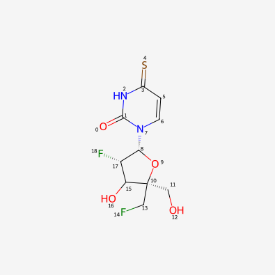 O=c1[nH]c(=S)ccn1[C@@H]1O[C@@](CO)(CF)C(O)[C@@H]1F